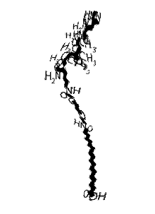 CC(C)(CC(=O)C(C)(C)CC(=O)C(C)(C)NC(=O)[C@@H](N)Cc1cnc[nH]1)C(=O)C[C@@H](CCCCNC(=O)COCCOCCNC(=O)CCCCCCCCCCCCCCCCC(=O)O)C(N)=O